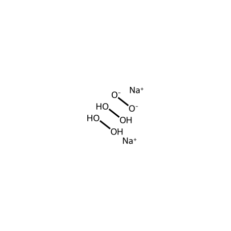 OO.OO.[Na+].[Na+].[O-][O-]